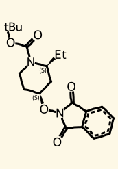 CC[C@H]1C[C@@H](ON2C(=O)c3ccccc3C2=O)CCN1C(=O)OC(C)(C)C